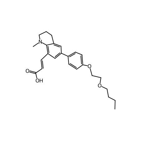 CCCCOCCOc1ccc(-c2cc(C=CC(=O)O)c3c(c2)CCCN3C)cc1